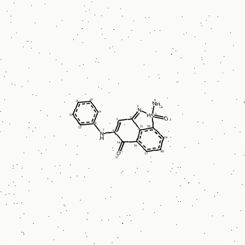 N[SH]1(=O)N=C2C=C(Nc3ccccc3)C(=O)c3cccc1c32